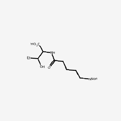 CCCCCCCCCCCCCC(=O)NC(C(=O)O)C(O)CC